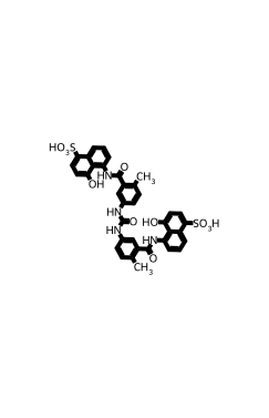 Cc1ccc(NC(=O)Nc2ccc(C)c(C(=O)Nc3cccc4c(S(=O)(=O)O)ccc(O)c34)c2)cc1C(=O)Nc1cccc2c(S(=O)(=O)O)ccc(O)c12